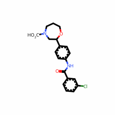 O=C(Nc1ccc(C2CN(C(=O)O)CCCO2)cc1)c1cccc(Cl)c1